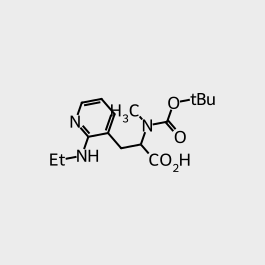 CCNc1ncccc1CC(C(=O)O)N(C)C(=O)OC(C)(C)C